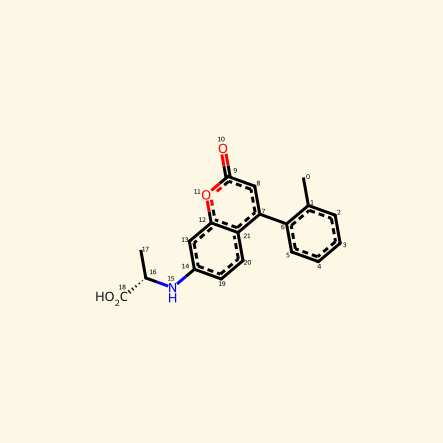 Cc1ccccc1-c1cc(=O)oc2cc(N[C@@H](C)C(=O)O)ccc12